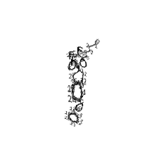 CCCCCC[C@@H](OC(=O)C1CCc2cc(OCc3ccccc3)ccc2C1)C(F)(F)F